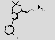 CC1(C)C/C(=C\CSC(=N)N)c2cc(-c3cccc(Br)c3)sc2C1